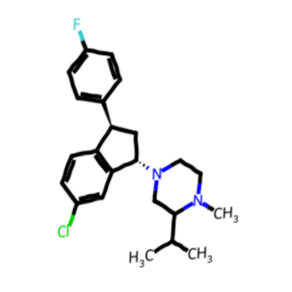 CC(C)C1CN([C@H]2C[C@H](c3ccc(F)cc3)c3ccc(Cl)cc32)CCN1C